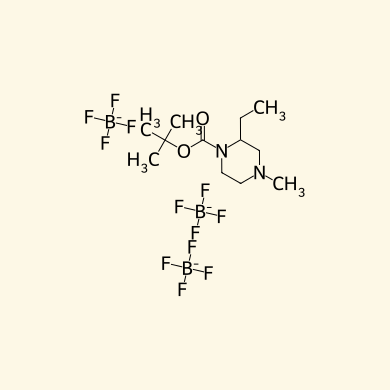 CCC1CN(C)CCN1C(=O)OC(C)(C)C.F[B-](F)(F)F.F[B-](F)(F)F.F[B-](F)(F)F